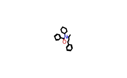 CC(C[CH]c1ccccc1)N(C(=O)c1ccccc1)C1CCCCC1